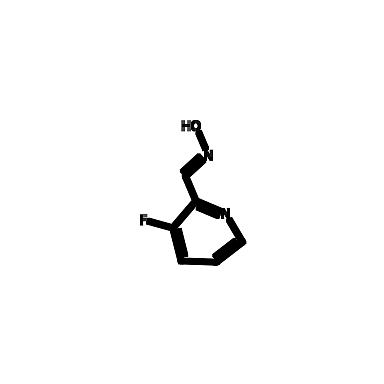 ON=Cc1ncccc1F